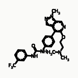 CN(C)CCOc1ncc2c(cnn2C)c1-c1ccc(NC(=O)Nc2cccc(C(F)(F)F)c2)cc1